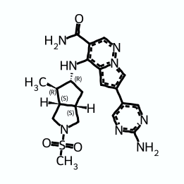 C[C@@H]1[C@H]2CN(S(C)(=O)=O)C[C@H]2C[C@H]1Nc1c(C(N)=O)cnn2cc(-c3cnc(N)nc3)cc12